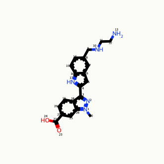 Cn1nc(-c2cc3cc(CNCCN)ccc3[nH]2)c2ccc(C(=O)O)cc21